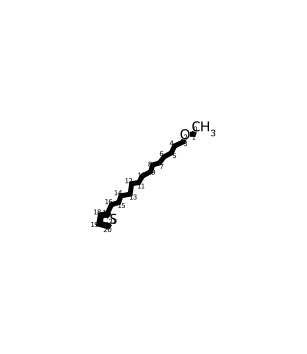 CCOCCCCCCCCCCCCCCc1cccs1